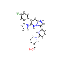 OCC1CCCN(c2cccc(-c3cnc4ccc(N5CCCC5c5cccc(F)c5)nn34)n2)C1